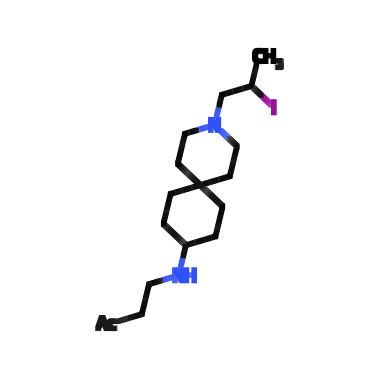 CC(=O)CCNC1CCC2(CC1)CCN(CC(C)I)CC2